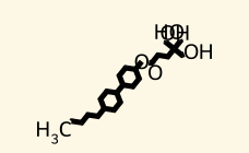 CCCCCC1CCC(C2CCC(OC(=O)CCC(CO)(CO)CO)CC2)CC1